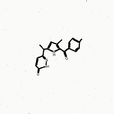 Cc1ccc(C(=O)c2[nH]c(C(C)c3ccc(=O)[nH]n3)cc2C)cc1